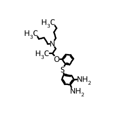 CCCCN(CCCC)CC(C)Oc1ccccc1Sc1ccc(N)c(N)c1